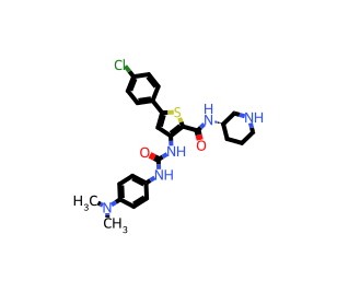 CN(C)c1ccc(NC(=O)Nc2cc(-c3ccc(Cl)cc3)sc2C(=O)N[C@H]2CCCNC2)cc1